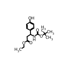 CCOC(=O)CC(NC(=O)OC(C)(C)C)c1ccc(O)cc1